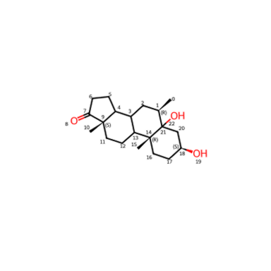 C[C@@H]1CC2C3CCC(=O)[C@@]3(C)CCC2[C@@]2(C)CC[C@H](O)CC12O